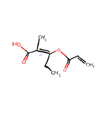 C=CC(=O)O/C(CC)=C(\C)C(=O)O